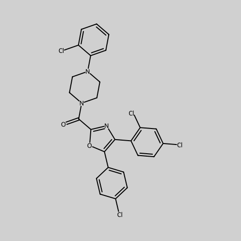 O=C(c1nc(-c2ccc(Cl)cc2Cl)c(-c2ccc(Cl)cc2)o1)N1CCN(c2ccccc2Cl)CC1